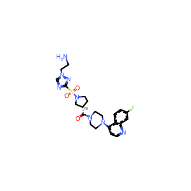 NCCn1cnc(S(=O)(=O)N2CC[C@H](C(=O)N3CCN(c4ccnc5cc(F)ccc45)CC3)C2)n1